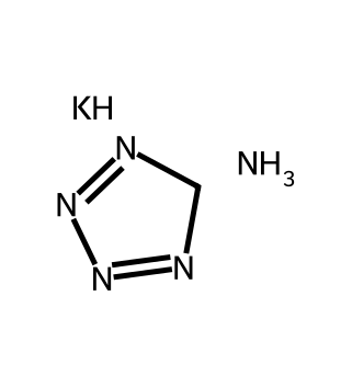 C1N=NN=N1.N.[KH]